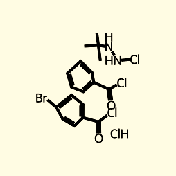 CC(C)(C)NNCl.Cl.O=C(Cl)c1ccc(Br)cc1.O=C(Cl)c1ccccc1